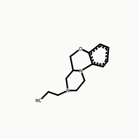 N#CCCN1CCN2c3ccccc3OCC2C1